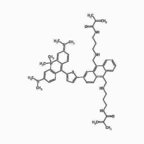 C=C(C)C(=O)NCCCNCc1c2ccccc2c(CNCCCNC(=O)C(=C)C)c2cc(-c3ccc(C4=C5C=CC(=[N+](C)C)C=C5[Si](C)(C)c5cc(N(C)C)ccc54)s3)ccc12